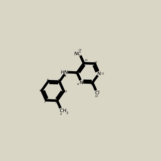 Cc1cccc(Nc2nc(Cl)ncc2C#N)c1